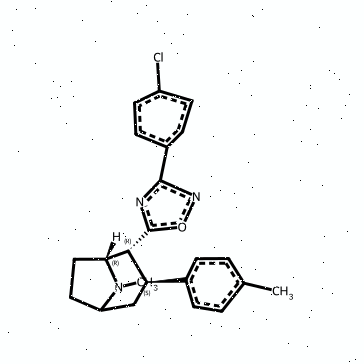 Cc1ccc([C@H]2CC3CC[C@H]([C@@H]2c2nc(-c4ccc(Cl)cc4)no2)N3C)cc1